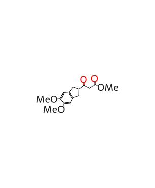 COC(=O)CC(=O)C1Cc2cc(OC)c(OC)cc2C1